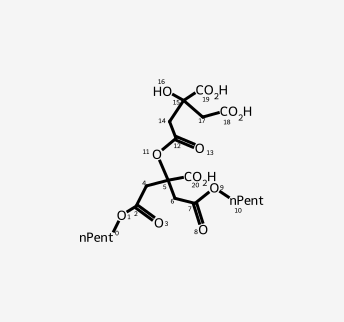 CCCCCOC(=O)CC(CC(=O)OCCCCC)(OC(=O)CC(O)(CC(=O)O)C(=O)O)C(=O)O